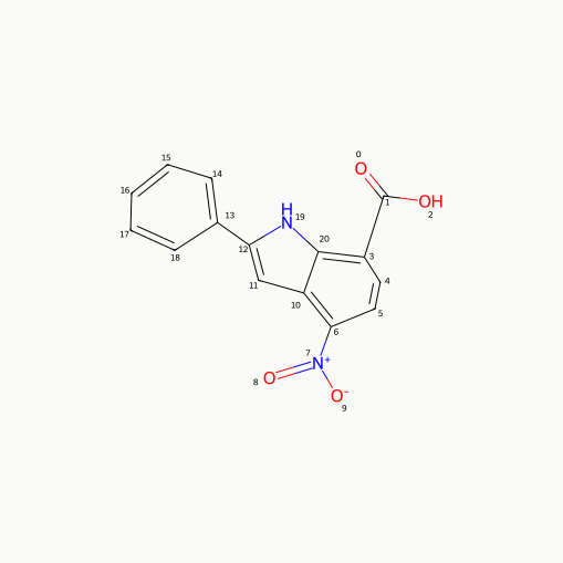 O=C(O)c1ccc([N+](=O)[O-])c2cc(-c3ccccc3)[nH]c12